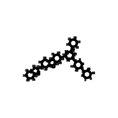 c1ccc(-c2ccc(-c3nc(-c4ccccc4)nc(-c4ccc5c(c4)oc4cc(-c6cn7ccccc7n6)ccc45)n3)cc2)cc1